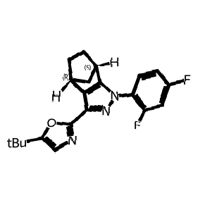 CC(C)(C)c1cnc(-c2nn(-c3ccc(F)cc3F)c3c2[C@@H]2CC[C@H]3C2)o1